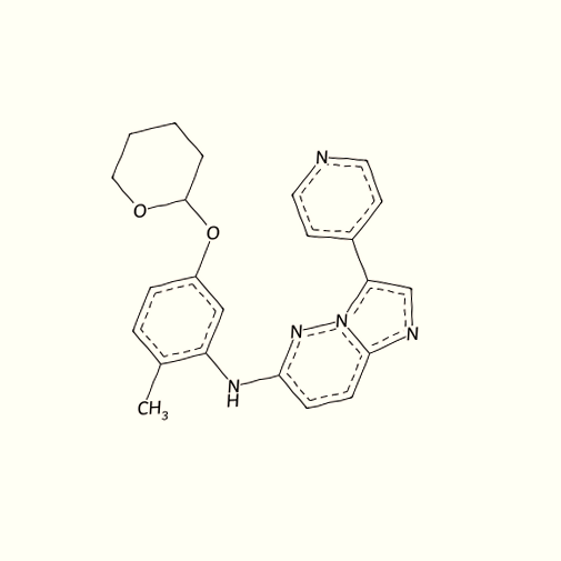 Cc1ccc(OC2CCCCO2)cc1Nc1ccc2ncc(-c3ccncc3)n2n1